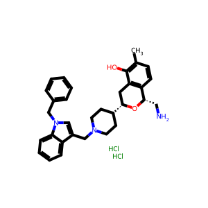 Cc1ccc2c(c1O)C[C@@H](C1CCN(Cc3cn(Cc4ccccc4)c4ccccc34)CC1)O[C@H]2CN.Cl.Cl